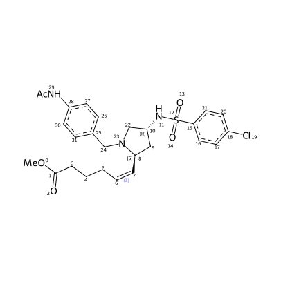 COC(=O)CCC/C=C\[C@@H]1C[C@@H](NS(=O)(=O)c2ccc(Cl)cc2)CN1Cc1ccc(NC(C)=O)cc1